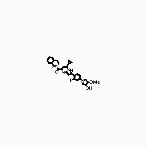 COC1CN(c2ccc(-c3cc4nc(C(=O)N5CCc6ccccc6[C@H]5C)cc(C5CC5)n4n3)c(F)c2)CC1O